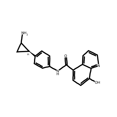 NC1C[C@@H]1c1ccc(NC(=O)c2ccc(O)c3ncccc23)cc1